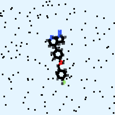 Fc1ccc(COc2ccc(-c3ccnc4[nH]ccc34)cc2)cc1